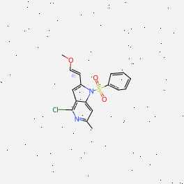 CO/C=C/c1cc2c(Cl)nc(C)cc2n1S(=O)(=O)c1ccccc1